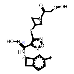 O=C(COO)N1CC(Sc2nonc2/C(=N/O)N[C@H]2Cc3ccc(F)cc32)C1